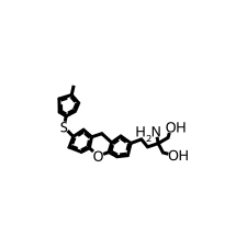 Cc1ccc(Sc2ccc3c(c2)Cc2cc(CCC(N)(CO)CO)ccc2O3)cc1